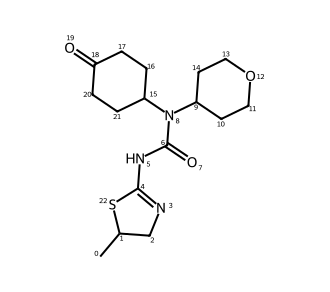 CC1CN=C(NC(=O)N(C2CCOCC2)C2CCC(=O)CC2)S1